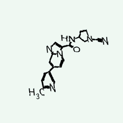 Cc1ccc(-c2ccn3c(C(=O)NC4CCN(C#N)C4)cnc3c2)cn1